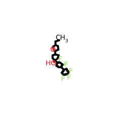 CCCC1CCC(C2CCC(O)(c3ccc(-c4cc(F)c(F)c(F)c4)c(F)c3F)CC2)OC1